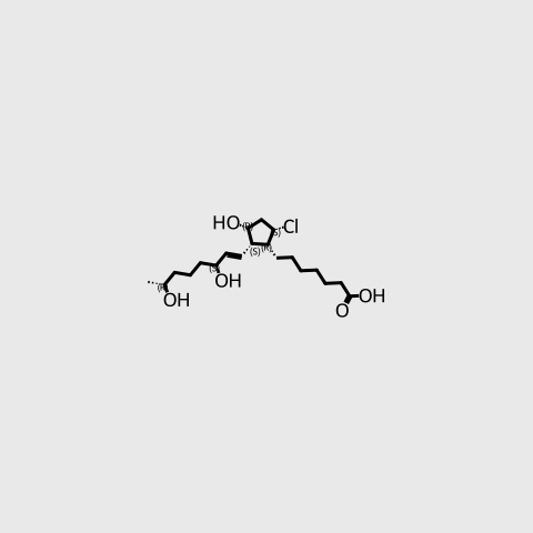 C[C@@H](O)CCC[C@H](O)C=C[C@H]1[C@@H](CCCCCCC(=O)O)[C@@H](Cl)C[C@H]1O